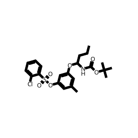 CCCC(NC(=O)OC(C)(C)C)Oc1cc(C)cc(OS(=O)(=O)c2ccccc2Cl)c1